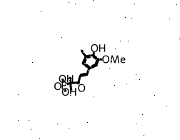 COc1cc(C=CC(=O)C(C)(C)P(=O)(O)O)cc(C)c1O